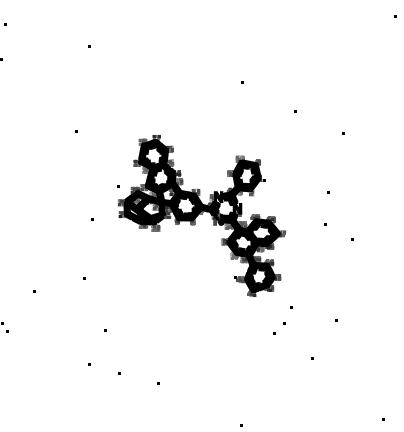 c1ccc(-c2nc(-c3ccc4c(c3)-c3cc5ccccc5cc3C43C4CC5CC(C4)CC3C5)nc(-c3ccc(-c4ccccc4)c4ccccc34)n2)cc1